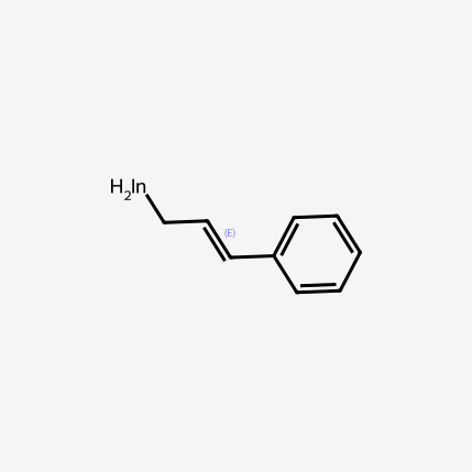 [InH2][CH2]/C=C/c1ccccc1